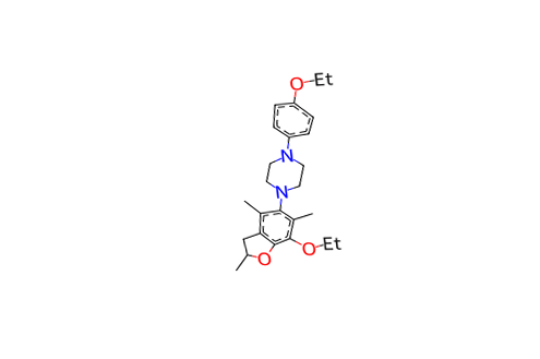 CCOc1ccc(N2CCN(c3c(C)c4c(c(OCC)c3C)OC(C)C4)CC2)cc1